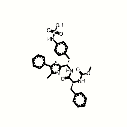 COC(=O)N[C@@H](Cc1ccccc1)C(=O)N[C@@H](Cc1ccc(NS(=O)(=O)O)cc1)c1nc(C)c(-c2ccccc2)s1